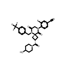 N#Cc1ccc(N2CC(=O)N(Cc3ccc(C(F)(F)F)cc3)[C@]3(C[C@@H](C(=O)N4CCC(O)CC4)C3)C2=O)c(F)c1